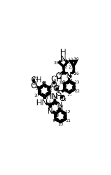 COc1cc(Nc2nc3ccccc3nc2NS(=O)(=O)c2cccc(N(CC3CC3)C(=O)C3CNC3)c2)cc(OC)c1